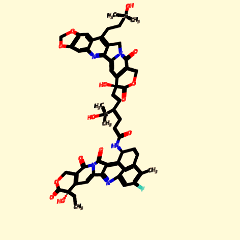 CC[C@@]1(O)C(=O)OCc2c1cc1n(c2=O)C(=O)c2c-1nc1cc(F)c(C)c3c1c2[C@@H](NC(=O)CCC(CC[C@@]1(O)C(=O)OCc2c1cc1n(c2=O)Cc2c-1nc1cc4c(cc1c2CC[Si](C)(C)O)OCO4)[Si](C)(C)O)CC3